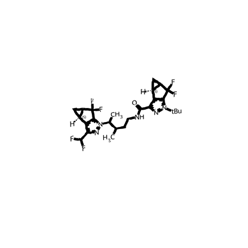 CC(CCNC(=O)c1nn(C(C)(C)C)c2c1[C@H]1CC1C2(F)F)C(C)n1nc(C(F)F)c2c1C(F)(F)C1C[C@H]21